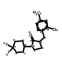 Cc1ccc(CC2CCN(C3CCC(F)(F)CC3)C2=O)c(Cl)c1